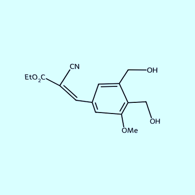 CCOC(=O)C(C#N)=Cc1cc(CO)c(CO)c(OC)c1